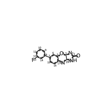 O=c1nc2oc3cc(-c4cccc(F)c4)ccc3nc-2[nH]1